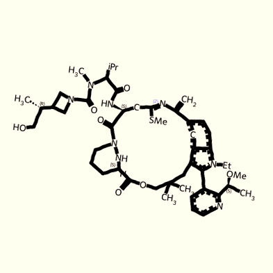 C=C1/N=C(\SC)C[C@H](NC(=O)C(C(C)C)N(C)C(=O)N2CC([C@@H](C)CO)C2)C(=O)N2CCC[C@H](N2)C(=O)OCC(C)(C)Cc2c(-c3cccnc3[C@H](C)OC)n(CC)c3ccc1cc23